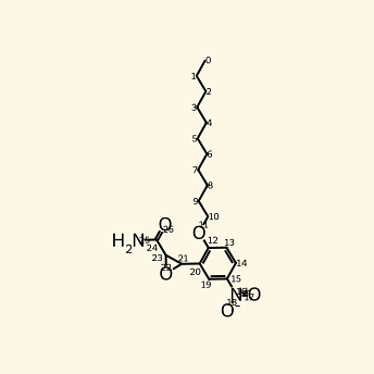 CCCCCCCCCCCOc1ccc([N+](=O)[O-])cc1C1OC1C(N)=O